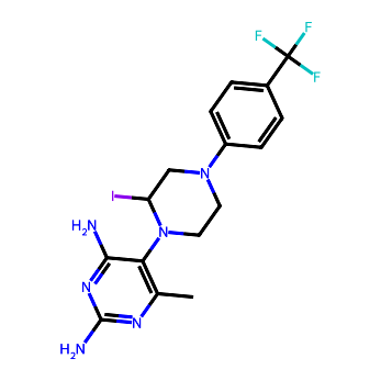 Cc1nc(N)nc(N)c1N1CCN(c2ccc(C(F)(F)F)cc2)CC1I